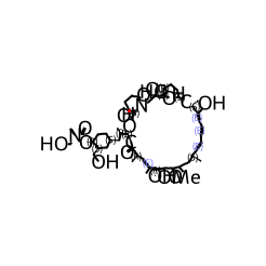 COC1C(=O)C(C)C[C@H](C)/C=C/C=C/C=C(\C)[C@@H](CO)C[C@@H]2CC[C@@H](C)[C@@](O)(O2)C(=O)C(=O)N2CCCC[C@H]2C(=O)O[C@H]([C@H](C)C[C@@H]2CC[C@@H](OC(=O)N(C)CO)[C@H](CO)C2)CC(=O)[C@H](C)/C=C(\C)[C@H]1O